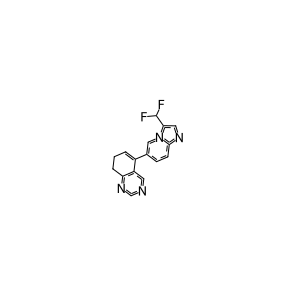 FC(F)c1cnc2ccc(C3=CCCc4ncncc43)cn12